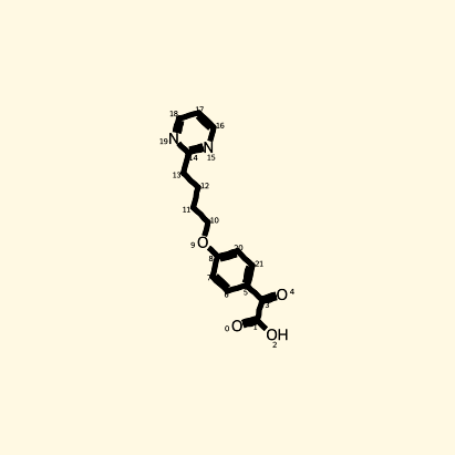 O=C(O)C(=O)c1ccc(OCCCCc2ncccn2)cc1